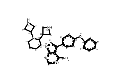 Nc1ncnc2c1c(-c1ccc(Oc3ccccc3)cc1)nn2[C@@H]1CCCN(C2CNC2)C1C1CNC1